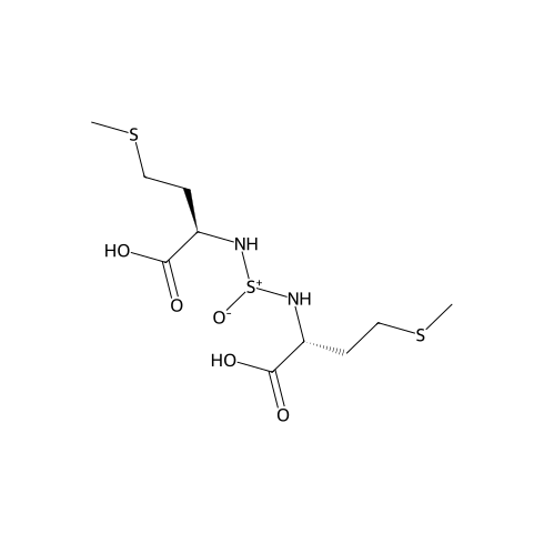 CSCC[C@@H](N[S+]([O-])N[C@H](CCSC)C(=O)O)C(=O)O